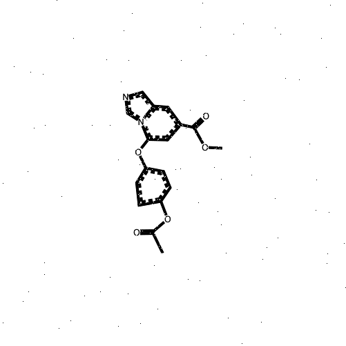 COC(=O)c1cc(Oc2ccc(OC(C)=O)cc2)n2cncc2c1